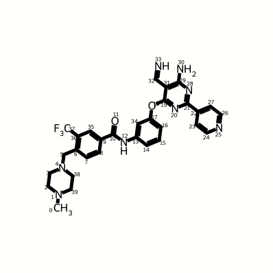 CN1CCN(Cc2ccc(C(=O)Nc3cccc(Oc4nc(-c5ccncc5)nc(N)c4C=N)c3)cc2C(F)(F)F)CC1